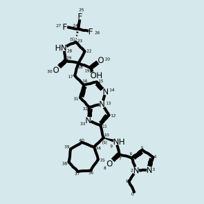 CCn1nccc1C(=O)N[C@H](c1cn2ncc(CC3(C(=O)O)C[C@@H](C(F)(F)F)NC3=O)cc2n1)C1CCCCCC1